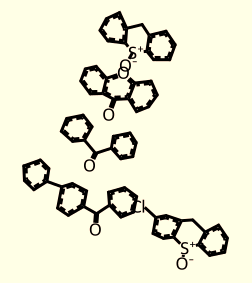 O=C(c1ccccc1)c1ccc(-c2ccccc2)cc1.O=C(c1ccccc1)c1ccccc1.O=c1c2ccccc2oc2ccccc12.[O-][S+]1c2ccccc2Cc2cc(Cl)ccc21.[O-][S+]1c2ccccc2Cc2ccccc21